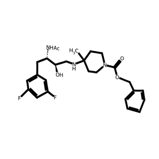 CC(=O)N[C@@H](Cc1cc(F)cc(F)c1)[C@H](O)CNC1(C)CCN(C(=O)OCc2ccccc2)CC1